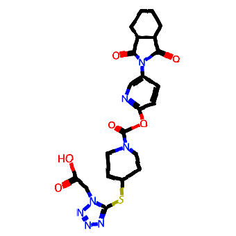 O=C(O)Cn1nnnc1SC1CCN(C(=O)Oc2ccc(N3C(=O)C4CCCCC4C3=O)cn2)CC1